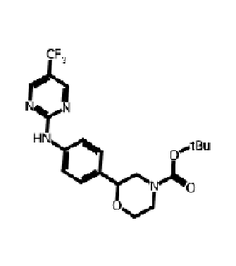 CC(C)(C)OC(=O)N1CCOC(c2ccc(Nc3ncc(C(F)(F)F)cn3)cc2)C1